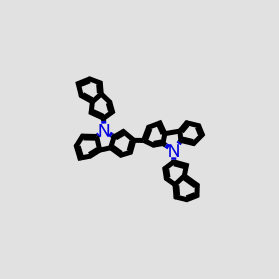 c1ccc2cc(-n3c4ccccc4c4ccc(-c5ccc6c7ccccc7n(-c7ccc8ccccc8c7)c6c5)cc43)ccc2c1